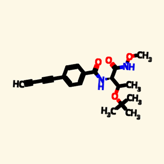 C#CC#Cc1ccc(C(=O)N[C@H](C(=O)NOC)C(C)OC(C)(C)C)cc1